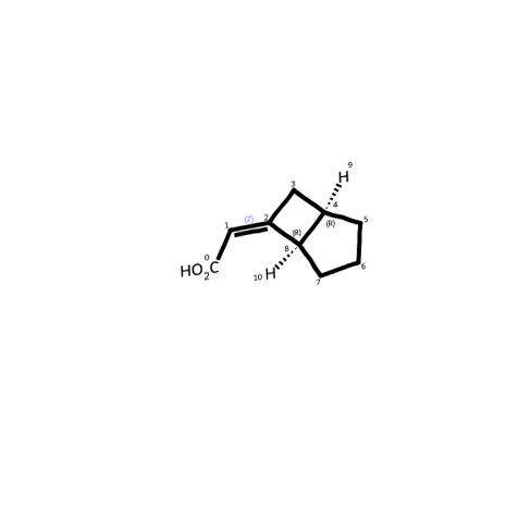 O=C(O)/C=C1/C[C@H]2CCC[C@@H]12